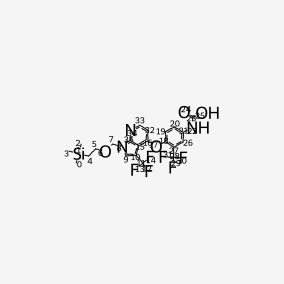 C[Si](C)(C)CCOCn1cc(C(F)(F)F)c2c(Oc3ccc(NC(=O)O)cc3C(F)(F)F)ccnc21